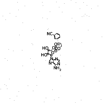 N#Cc1cccc([C@@H]2CCOP(=O)(OC3O[C@@H](n4cnc5c(N)ncnc54)[C@H](O)[C@@H]3O)O2)c1